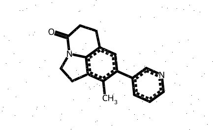 Cc1c(-c2cccnc2)cc2c3c1CCN3C(=O)CC2